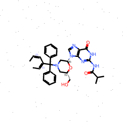 C/C=C\C(=C/C)C(c1ccccc1)(c1ccccc1)N1C[C@@H](CO)O[C@@H](n2cnc3c(=O)[nH]c(NC(=O)C(C)C)nc32)C1